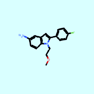 COCCn1c(-c2ccc(F)cc2)cc2cc(N)ccc21